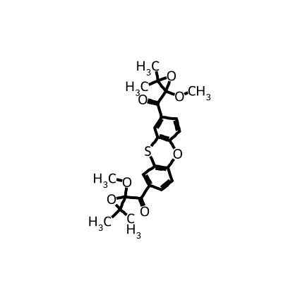 COC1(C(=O)c2ccc3c(c2)Sc2cc(C(=O)C4(OC)OC4(C)C)ccc2O3)OC1(C)C